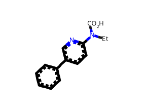 CCN(C(=O)O)c1ccc(-c2ccccc2)cn1